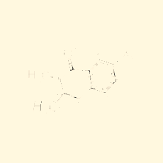 CC(=O)c1ccc2c(c1)C(=O)C(C)C(C)C2